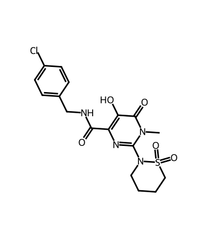 Cn1c(N2CCCCS2(=O)=O)nc(C(=O)NCc2ccc(Cl)cc2)c(O)c1=O